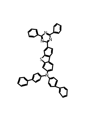 c1ccc(-c2ccc(N(c3ccc(-c4ccccc4)cc3)c3ccc4c(c3)sc3cc(-c5nc(-c6ccccc6)nc(-c6ccccc6)n5)ccc34)cc2)cc1